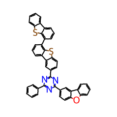 c1ccc(-c2nc(-c3ccc4oc5ccccc5c4c3)nc(-c3ccc4sc5c(-c6cccc7c6sc6ccccc67)cccc5c4c3)n2)cc1